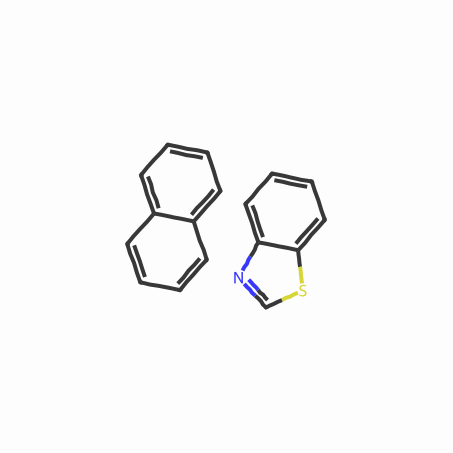 c1ccc2ccccc2c1.c1ccc2scnc2c1